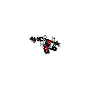 CC(C)CC(NC(=O)C(Cc1ccccc1)NC(=O)C(Cc1ccccc1)NC(=O)OC(C)(C)C)C(=O)NC(CCCCNC(=O)OC(C)(C)C)C(=O)N1CCC2(CC1)CN(C(=O)OC(C)(C)C)C2